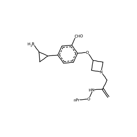 BC1CC1c1ccc(OC2CN(CC(=C)NOCCC)C2)c(C=O)c1